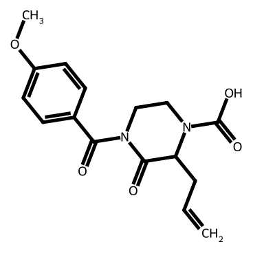 C=CCC1C(=O)N(C(=O)c2ccc(OC)cc2)CCN1C(=O)O